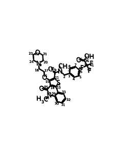 CN(Cc1ccccc1)C(=O)c1sc2c(c1OCCN1CCOCC1)c(=O)n(C)c1ccccc21.O=C(O)C(F)(F)F